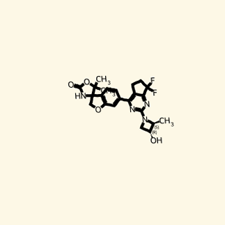 C[C@H]1[C@H](O)CN1c1nc(-c2ccc3c(c2)OCC32NC(=O)OC2(C)C)c2c(n1)C(F)(F)CC2